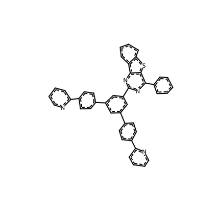 c1ccc(-c2nc(-c3cc(-c4ccc(-c5ccccn5)cc4)cc(-c4ccc(-c5ccccn5)cc4)c3)nc3c2sc2ccccc23)cc1